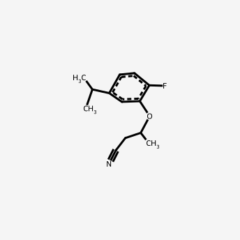 CC(CC#N)Oc1cc(C(C)C)ccc1F